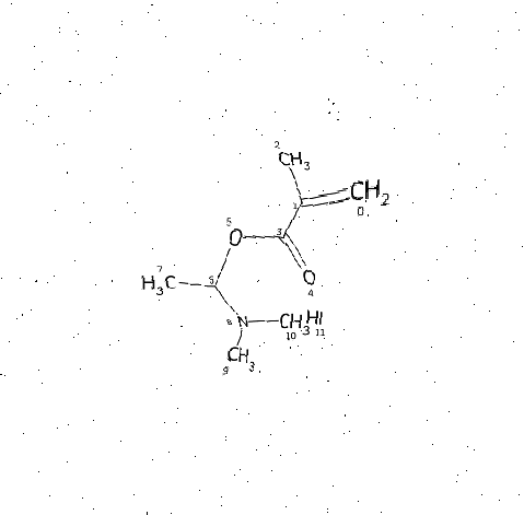 C=C(C)C(=O)OC(C)N(C)C.I